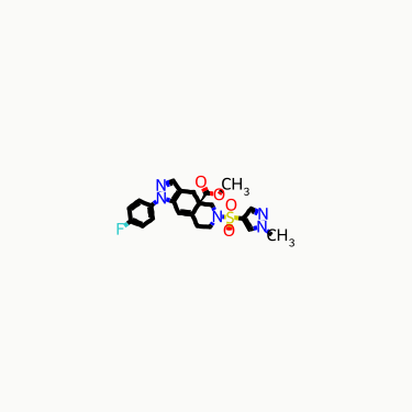 COC(=O)[C@]12Cc3cnn(-c4ccc(F)cc4)c3C=C1CCN(S(=O)(=O)c1cnn(C)c1)C2